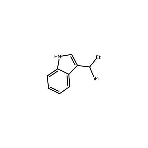 CCC(c1c[nH]c2ccccc12)C(C)C